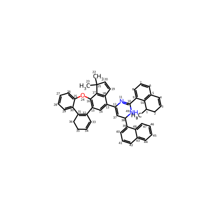 CC1CC=Cc2cccc(C3=NC(c4cc5c(c6c4C=CC6(C)C)Oc4ccccc4C4=C5C=CCC4)=CC(c4cccc5ccccc45)N3)c21